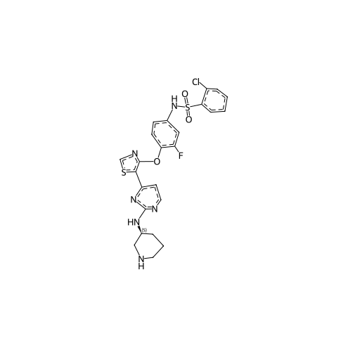 O=S(=O)(Nc1ccc(Oc2ncsc2-c2ccnc(N[C@H]3CCCNC3)n2)c(F)c1)c1ccccc1Cl